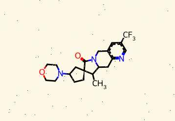 CC1C2Cc3ncc(C(F)(F)F)cc3CN2C(=O)[C@]12CCC(N1CCOCC1)C2